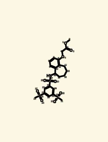 COC(=O)COc1cccc2c1CCCCC2NS(=O)(=O)c1cc(S(C)(=O)=O)cc(S(C)(=O)=O)c1